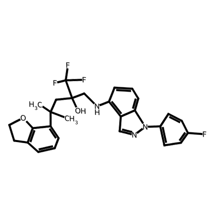 CC(C)(CC(O)(CNc1cccc2c1cnn2-c1ccc(F)cc1)C(F)(F)F)c1cccc2c1OCC2